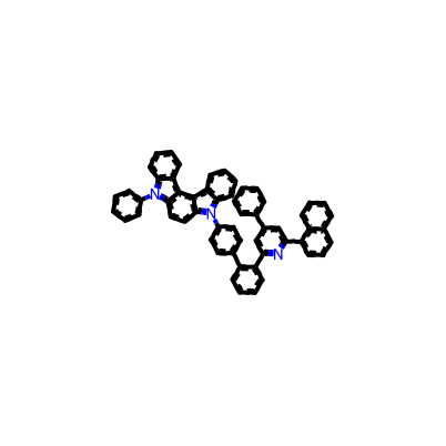 c1ccc(-c2cc(-c3ccccc3-c3ccc(-n4c5ccccc5c5c6c7ccccc7n(-c7ccccc7)c6ccc54)cc3)nc(-c3cccc4ccccc34)c2)cc1